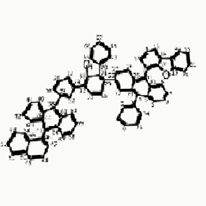 c1ccc(-c2c3ccccc3c(-c3cccc4c3oc3ccccc34)c3ccc(-c4ccc(-c5cccc(-c6c7ccccc7c(-c7cccc8ccccc78)c7ccccc67)c5)c5oc6ccccc6c45)cc23)cc1